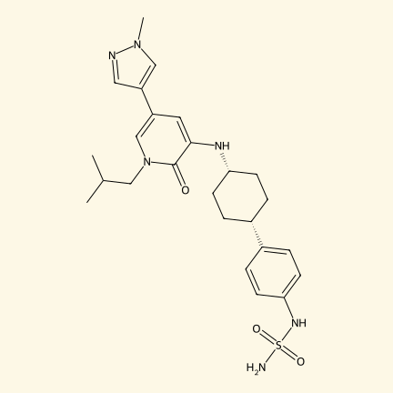 CC(C)Cn1cc(-c2cnn(C)c2)cc(N[C@H]2CC[C@@H](c3ccc(NS(N)(=O)=O)cc3)CC2)c1=O